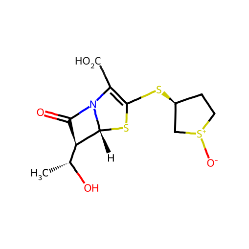 C[C@@H](O)[C@H]1C(=O)N2C(C(=O)O)=C(S[C@H]3CC[S+]([O-])C3)S[C@H]12